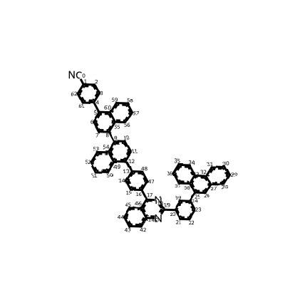 N#Cc1ccc(-c2ccc(-c3ccc(-c4ccc(-c5nc(-c6cccc(-c7cc8ccccc8c8ccccc78)c6)nc6ccccc56)cc4)c4ccccc34)c3ccccc23)cc1